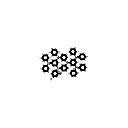 Fc1ccc(N(c2cccc(Sc3cc(N(c4ccccc4)c4ccccc4)cc(N(c4ccccc4)c4ccccc4)c3)c2)c2cc(N(c3ccccc3)c3ccccc3)cc(N(c3ccccc3)c3ccccc3)c2)c(F)c1